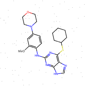 COc1cc(N2CCOCC2)ccc1Nc1nc(SC2CCCCC2)c2nc[nH]c2n1